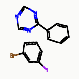 Brc1cccc(I)c1.c1ccc(-c2ncncn2)cc1